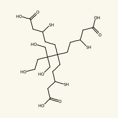 O=C(O)CC(S)CCC(CCC(S)CC(=O)O)(CCC(S)CC(=O)O)C(CO)(CO)CCO